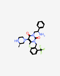 Cc1c(N2CCN[C@H](C)C2)c(=O)n(C[C@H](N)c2ccccc2)c(=O)n1Cc1c(F)cccc1C(F)(F)F